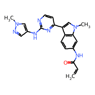 C=CC(=O)Nc1ccc2c(-c3ccnc(Nc4cnn(C)c4)n3)cn(C)c2c1